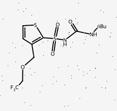 CCCCNC(=O)NS(=O)(=O)c1sccc1COCC(F)(F)F